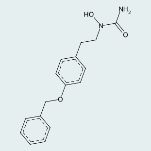 NC(=O)N(O)CCc1ccc(OCc2ccccc2)cc1